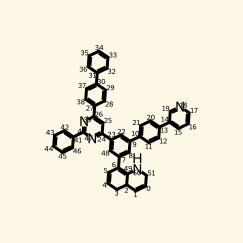 C1=CC2CC=CC(c3cc(-c4ccc(-c5cccnc5)cc4)cc(-c4cc(-c5ccc(-c6ccccc6)cc5)nc(-c5ccccc5)n4)c3)=C2NC1